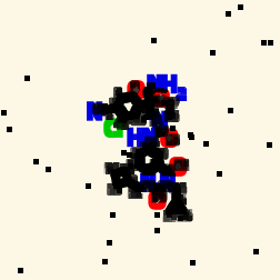 N#Cc1ccc(C2(C(N)=O)CN(C(=O)Nc3ccc4c(c3)c(=O)n(CC3CC3)c(=O)n4CC3CCC3)CCO2)cc1Cl